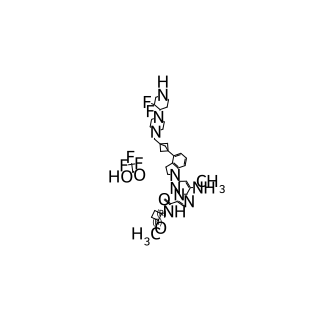 CNc1cc(N2CCc3c2cccc3C23CC(CN4CCN(C5CCNCC5(F)F)CC4)(C2)C3)nn2c(C(=O)N[C@@H]3CC[C@H]3OC)cnc12.O=C(O)C(F)(F)F